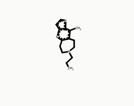 CCCN1CCc2nc3ccsc3c(C)c2CC1